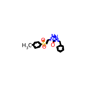 Cc1ccc(S(=O)(=O)/C=C/n2nnn(Cc3ccccc3)c2=O)cc1